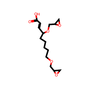 O=C(O)C=CC(CCCCCOCC1CO1)OCC1CO1